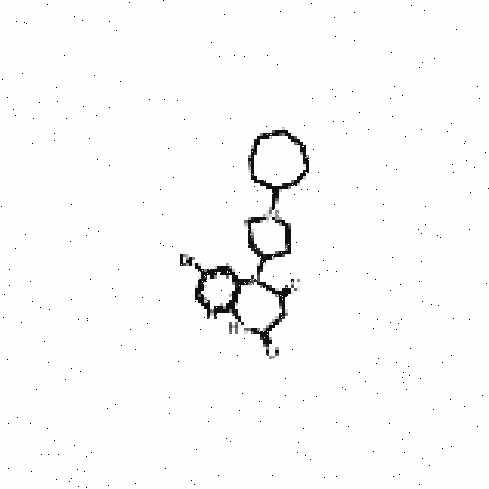 O=C1CC(=O)N(C2CCN(C3CCCCCCC3)CC2)c2cc(Br)cnc2N1